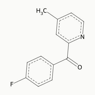 Cc1ccnc(C(=O)c2ccc(F)cc2)c1